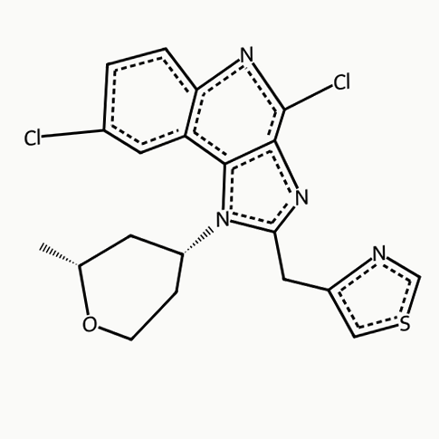 C[C@@H]1C[C@H](n2c(Cc3cscn3)nc3c(Cl)nc4ccc(Cl)cc4c32)CCO1